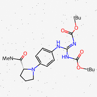 CNC(=O)[C@H]1CCCN1c1ccc(N/C(=N\C(=O)OC(C)(C)C)NC(=O)OC(C)(C)C)cc1